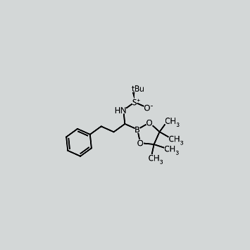 CC(C)(C)[S@@+]([O-])NC(CCc1ccccc1)B1OC(C)(C)C(C)(C)O1